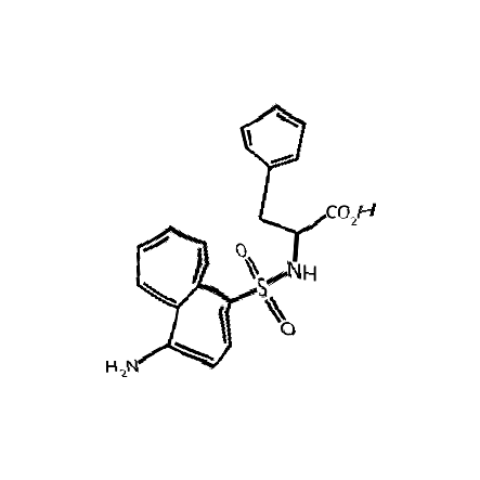 Nc1ccc(S(=O)(=O)NC(Cc2ccccc2)C(=O)O)c2ccccc12